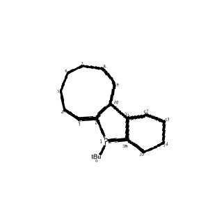 CC(C)(C)P1C2CCCCCCCC2C2CCCCC21